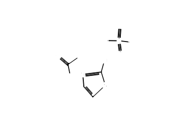 CC(=O)O.Cc1ncc[nH]1.O=S(=O)(O)O